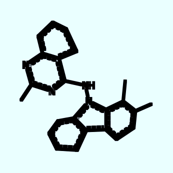 Cc1nc(Nn2c3ccccc3c3ccc(C)c(C)c32)c2ccccc2n1